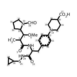 COC(C(C)C(=O)NC(Cc1ccc(N2CCC(C(=O)O)CC2)cc1)C(=O)NSC1CC1)C1CCCN1C=O